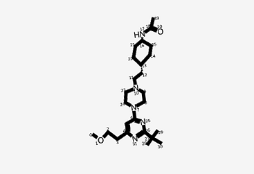 COCCc1cc(N2CCN(CC[C@H]3CC[C@H](NC(C)=O)CC3)CC2)nc(C(C)(C)C)n1